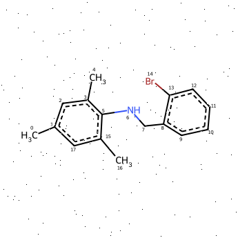 Cc1cc(C)c(NCc2ccccc2Br)c(C)c1